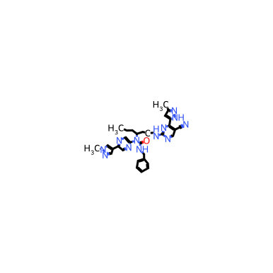 CCCC(CCCNc1ncc(C#N)c(-c2cc(C)n[nH]2)n1)N(C(=O)NCc1ccccc1)c1cnc(-c2cnn(C)c2)cn1